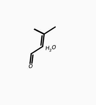 CC(C)=CC=O.O